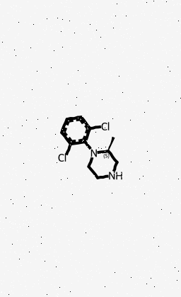 C[C@H]1CNCCN1c1c(Cl)cccc1Cl